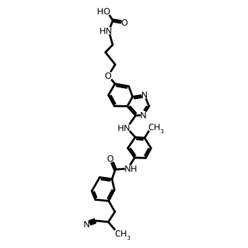 Cc1ccc(NC(=O)c2cccc(CC(C)C#N)c2)cc1Nc1ncnc2cc(OCCCNC(=O)O)ccc12